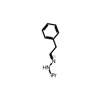 CC(C)N/N=C/Cc1ccccc1